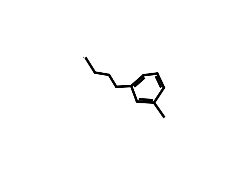 [CH2]CCCc1cccc(C)c1